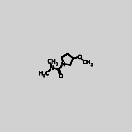 COC1CCN(C(=O)N(C)C)C1